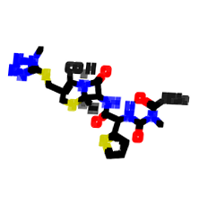 CNC(=O)N(C)C(=O)NC(C(=O)NC1C(=O)N2C(C(=O)O)=C(CSc3nnnn3C)CS[C@@H]12)c1cccs1